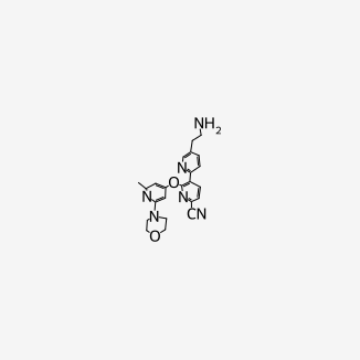 Cc1cc(Oc2nc(C#N)ccc2-c2ccc(CCN)cn2)cc(N2CCOCC2)n1